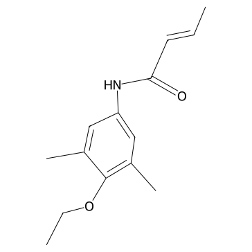 CC=CC(=O)Nc1cc(C)c(OCC)c(C)c1